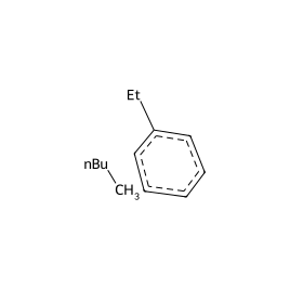 CCCCC.CCc1ccccc1